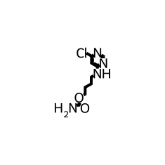 NC(=O)OCCCCNc1cc(Cl)ncn1